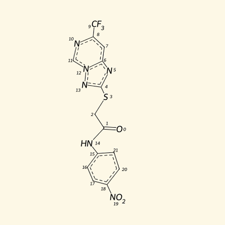 O=C(CSc1nc2cc(C(F)(F)F)ncn2n1)Nc1ccc([N+](=O)[O-])cc1